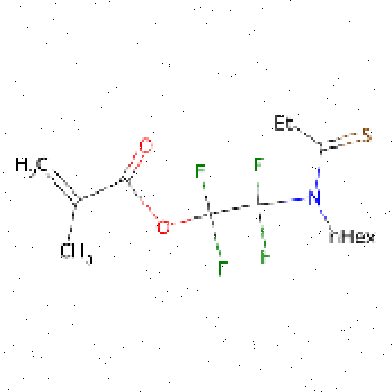 C=C(C)C(=O)OC(F)(F)C(F)(F)N(CCCCCC)C(=S)CC